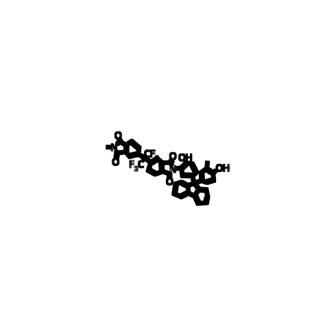 Cc1cc(C2(c3ccc(O)c(N4C(=O)c5ccc(C(c6ccc7c(c6)C(=O)N(C)C7=O)(C(F)(F)F)C(F)(F)F)cc5C4=O)c3)c3ccccc3-c3ccccc32)ccc1O